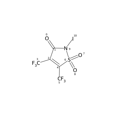 O=C1C(C(F)(F)F)=C(C(F)(F)F)S(=O)(=O)N1I